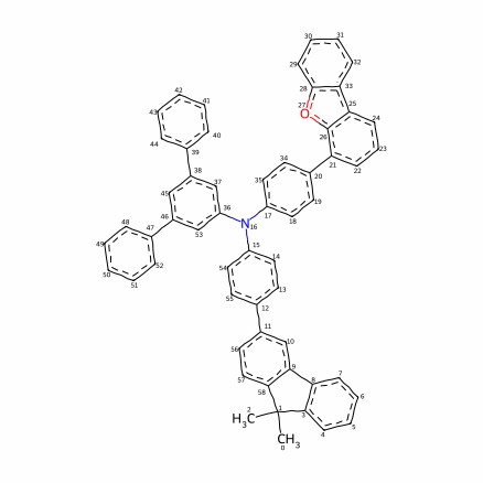 CC1(C)c2ccccc2-c2cc(-c3ccc(N(c4ccc(-c5cccc6c5oc5ccccc56)cc4)c4cc(-c5ccccc5)cc(-c5ccccc5)c4)cc3)ccc21